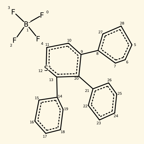 F[B-](F)(F)F.c1ccc(-c2cc[s+]c(-c3ccccc3)c2-c2ccccc2)cc1